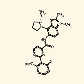 COc1cccc(F)c1-c1nccc(C(=O)Nc2ccc3c(nc(C)n3C)c2N2CCC[C@@H]2CN)n1